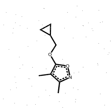 Cc1noc(OCC2CC2)c1C